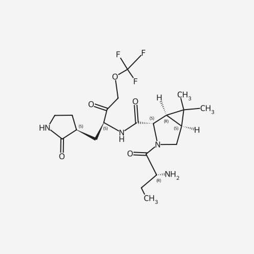 CC[C@@H](N)C(=O)N1C[C@H]2[C@@H]([C@H]1C(=O)N[C@@H](C[C@@H]1CCNC1=O)C(=O)COC(F)(F)F)C2(C)C